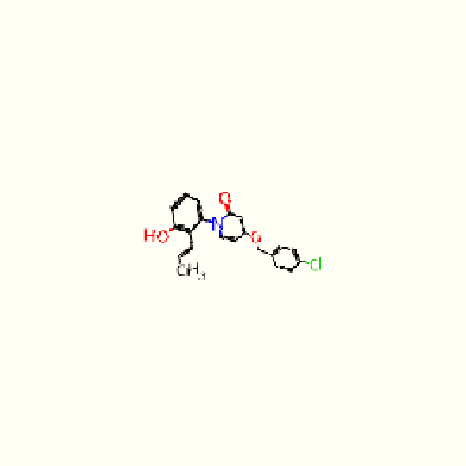 CC=Cc1c(O)cccc1-n1ccc(OCc2ccc(Cl)cc2)cc1=O